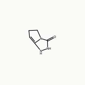 O=C1NNC2=CCCN12